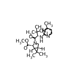 COC(=O)[C@@H]1[C@@H]2[C@H](CN1C(=O)[C@@H](Nc1nccc(C)n1)C(C)(C)C)C2(C)C